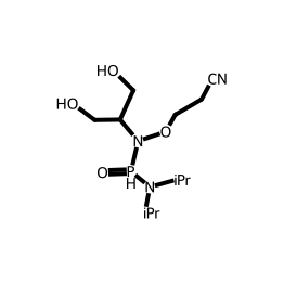 CC(C)N(C(C)C)[PH](=O)N(OCCC#N)C(CO)CO